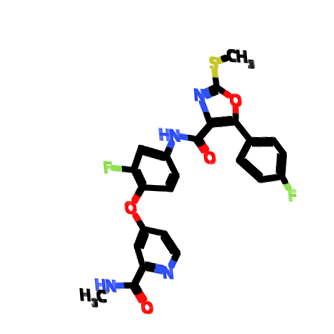 CNC(=O)c1cc(Oc2ccc(NC(=O)c3nc(SC)oc3-c3ccc(F)cc3)cc2F)ccn1